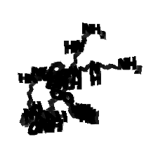 Cl.Cl.Cl.Cl.N=C(N)NCCCCCCC(=O)N1CCC[C@H]1C(=O)NC(=N)NCCCCCCC(=O)[N+]1(C(=O)OCc2ccccc2)C(C(=O)OCc2ccccc2)CC[C@H]1C(=O)N(CCCCNCCCN)NCCCNCCCCN